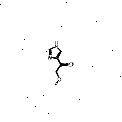 COCC(=O)c1c[nH][c]n1